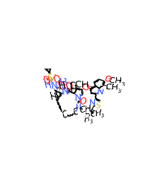 COc1ccc2c(O[C@H]3CN4C(=O)N(C)CCCC/C=C\[C@@H]5C[C@@]5(C(=O)NS(=O)(=O)C5CC5)NC(=O)[C@@H]4C3(C)C)cc(-c3csc(C(C)C)n3)nc2c1C